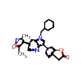 Cc1noc(C)c1-c1cnc2c(-c3ccc4c(c3)OC(=O)C4)cn(CC3CCCCC3)c2c1